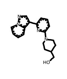 OCC1CCN(c2cccc(-c3cnn4ccccc34)n2)CC1